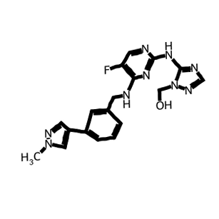 Cn1cc(-c2cccc(CNc3nc(Nc4ncnn4CO)ncc3F)c2)cn1